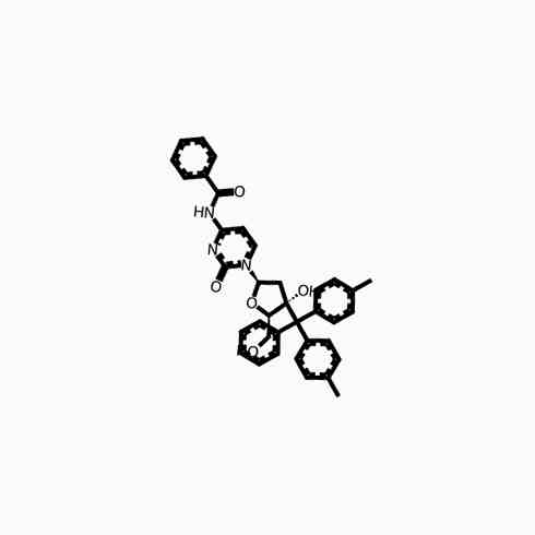 Cc1ccc(C(c2ccccc2)(c2ccc(C)cc2)[C@]2(O)C[C@H](n3ccc(NC(=O)c4ccccc4)nc3=O)O[C@@H]2CO)cc1